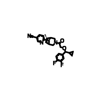 C[C@H]1CC2CN(C(=O)COC(c3ccc(F)c(F)c3)C3CC3)CC1N2c1ccc(C#N)cn1